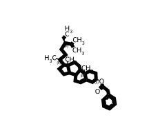 CC[C@H](CC[C@@H](C)C1CCC2C3CC=C4C[C@@H](OC(=O)Cc5ccccc5)CC[C@]4(C)C3CC[C@@]21C)C(C)C